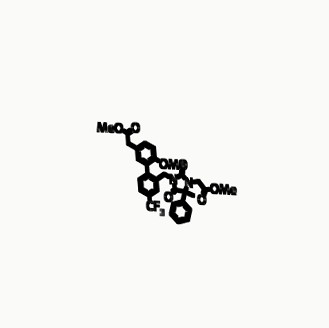 COC(=O)Cc1ccc(OC)c(-c2ccc(C(F)(F)F)cc2CN2C(=O)N(CC(=O)OC)C(C)(c3ccccc3)C2=O)c1